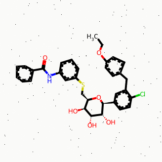 CCOc1ccc(Cc2cc([C@@H]3O[C@H](CSc4cccc(NC(=O)c5ccccc5)c4)[C@H](O)[C@@H](O)[C@H]3O)ccc2Cl)cc1